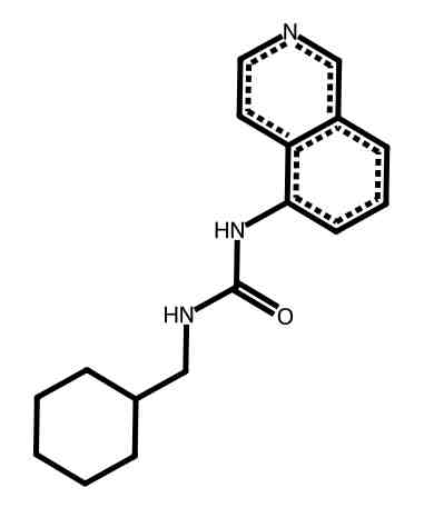 O=C(NCC1CCCCC1)Nc1cccc2cnccc12